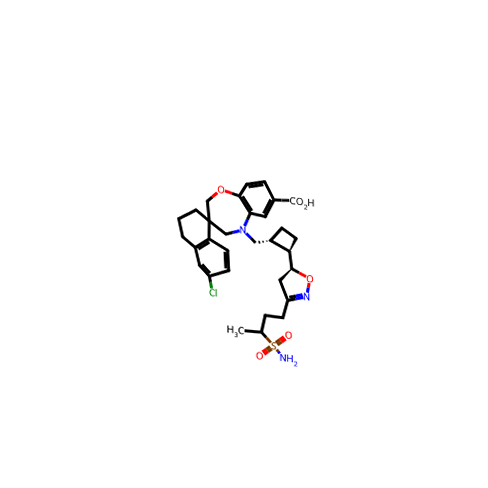 CC(CCC1=NO[C@H]([C@@H]2CC[C@H]2CN2CC3(CCCc4cc(Cl)ccc43)COc3ccc(C(=O)O)cc32)C1)S(N)(=O)=O